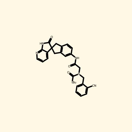 CC(C)(C)C(=O)N(CC(=O)Nc1ccc2c(c1)CC1(C2)C(=O)Nc2ncccc21)Cc1ccccc1C#N